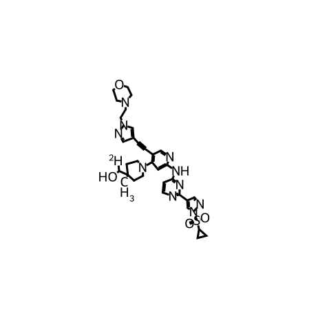 [2H]C(O)C1(C)CCN(c2cc(Nc3ccnc(-c4cnn(S(=O)(=O)C5CC5)c4)n3)ncc2C#Cc2cnn(CCN3CCOCC3)c2)CC1